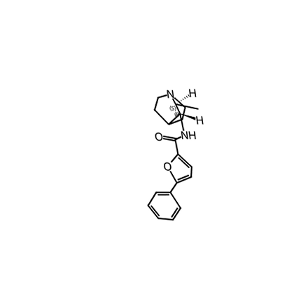 C[C@H]1[C@H](NC(=O)c2ccc(-c3ccccc3)o2)C2CCN1CC2